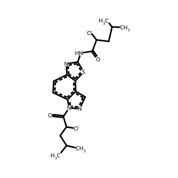 CC(C)CC(Cl)C(=O)Nc1nc2ccc3c(cnn3C(=O)C(Cl)CC(C)C)c2s1